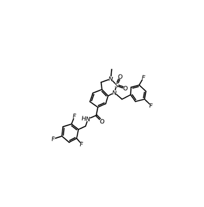 CN1Cc2ccc(C(=O)NCc3c(F)cc(F)cc3F)cc2N(Cc2cc(F)cc(F)c2)S1(=O)=O